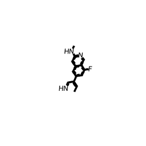 C/C=C(\C=N)c1cc(F)c2cnc(NC)cc2c1